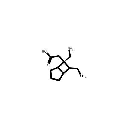 CCC1C2CCCC2[C@]1(CN)CC(=O)O